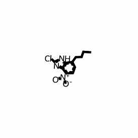 CCCCc1ccc([N+](=O)[O-])c2nc(Cl)[nH]c12